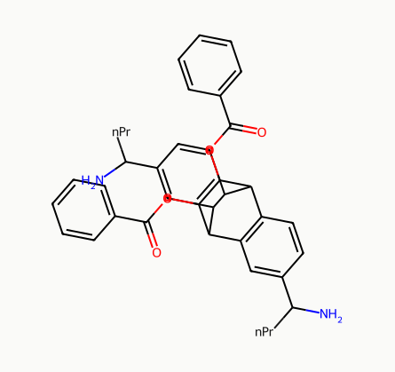 CCCC(N)c1ccc2c(c1)C1c3cc(C(N)CCC)ccc3C2C(OC(=O)c2ccccc2)C1OC(=O)c1ccccc1